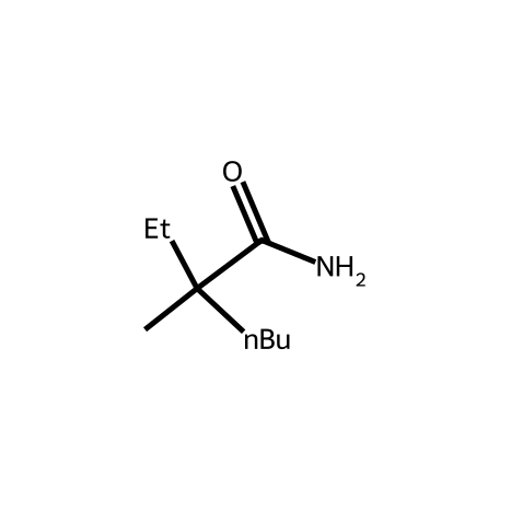 [CH2]CC(C)(CCCC)C(N)=O